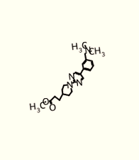 COC(=O)CCC1CCN(c2ncc(-c3cccc(CN(C)C)c3)cn2)CC1